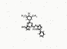 C[C@@H]1CN(c2nc(NCc3nnc(-c4ccccc4)[nH]3)n3ncc(Br)c3n2)C[C@H](C)N1